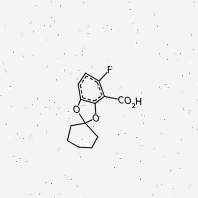 O=C(O)c1c(F)ccc2c1OC1(CCCCC1)O2